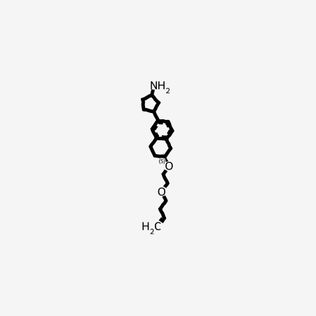 C=CCCOCCO[C@H]1CCc2cc(C3CCC(N)C3)ccc2C1